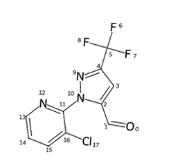 O=[C]c1cc(C(F)(F)F)nn1-c1ncccc1Cl